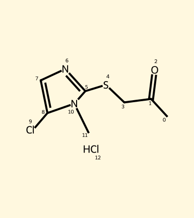 CC(=O)CSc1ncc(Cl)n1C.Cl